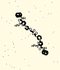 CCCSc1nc(N2CCC[C@@H](CC(=O)OC(=O)CO[C@H]3CCN(c4ccc(C(=O)NC5C6CC7CC(C6)CC5C7)c(SCCC)n4)C3)C2)ccc1C(=O)NC1C2CC3CC(C2)CC1C3